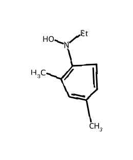 CCN(O)c1ccc(C)cc1C